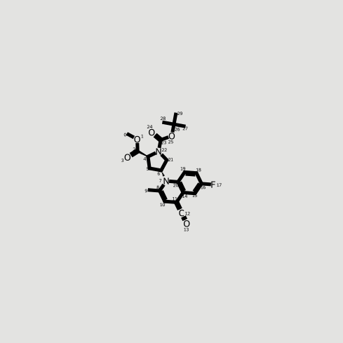 COC(=O)[C@@H]1C[C@@H](N2C(C)=CC(=C=O)c3cc(F)ccc32)CN1C(=O)OC(C)(C)C